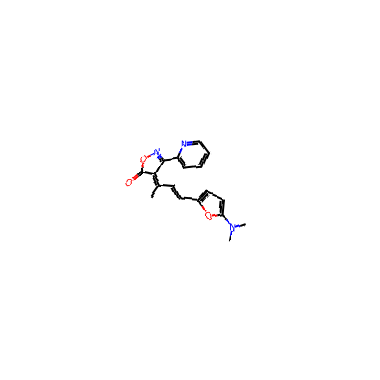 C/C(C=Cc1ccc(N(C)C)o1)=C1\C(=O)ON=C1c1ccccn1